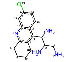 NCC(N)C(N)c1c2c(nc3cc(Cl)ccc13)CCCC2